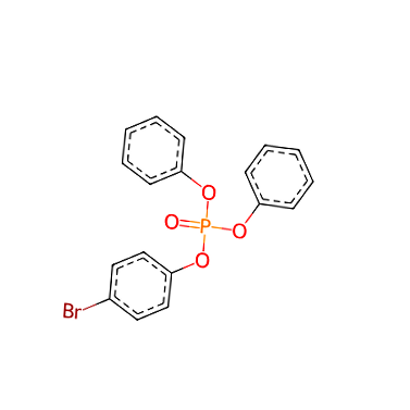 O=P(Oc1ccccc1)(Oc1ccccc1)Oc1ccc(Br)cc1